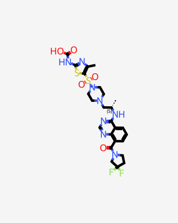 Cc1nc(NC(=O)O)sc1S(=O)(=O)N1CCN(C[C@H](C)Nc2ncnc3c(C(=O)N4CCC(F)(F)C4)cccc23)CC1